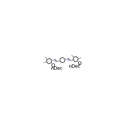 CCCCCCCCCCOc1cc(/C=C/c2ccc(/C=C/c3cc(C)c(C)cc3OCCCCCCCCCC)cc2)c(C)cc1C